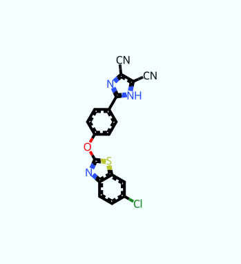 N#Cc1nc(-c2ccc(Oc3nc4ccc(Cl)cc4s3)cc2)[nH]c1C#N